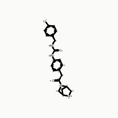 O=C(NCc1ccc(Cl)cc1)Nc1ccc(CC(=O)N2CC3CC2CN3)cc1